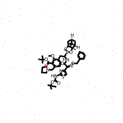 COc1c(CC(NC(=O)/C(=N\OCc2ccccc2)c2csc(NC(=O)OC(C)(C)C)n2)B2OC3C[C@H]4C[C@@H](C4(C)C)[C@]3(C)O2)ccc(CN2CCCC2)c1C(=O)OC(C)(C)C